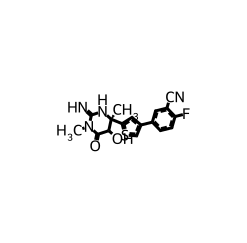 CN1C(=N)N[C@](C)(c2cc(-c3ccc(F)c(C#N)c3)cs2)C(O)C1=O